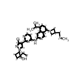 CSCC1CN(c2ccc(C(C)C)c3cc(Nc4ccnc(-c5cn(C6CCC6(O)CF)nc5Cl)n4)ncc23)C1